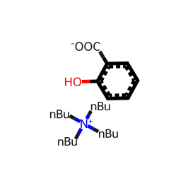 CCCC[N+](CCCC)(CCCC)CCCC.O=C([O-])c1ccccc1O